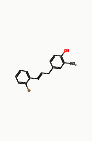 O=[N+]([O-])c1cc(C/C=C/c2ccccc2Br)ccc1O